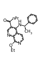 CCCC(=O)c1cnc2c(OCC)nccc2c1N[C@H](C)c1ccccc1